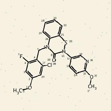 COc1cc(F)c(CN2C(=O)N(c3ccc(OC)nc3)Sc3ccccc32)c(Cl)c1